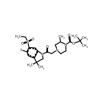 CCS(=O)(=O)c1cc2c(cc1F)C(C)(C)CN2C(=O)CN1CCN(C(=O)OC(C)(C)C)C(C)C1